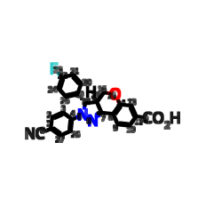 N#Cc1ccc(N2N=C3c4ccc(C(=O)O)cc4OC[C@H]3[C@H]2c2ccc(F)cc2)cc1